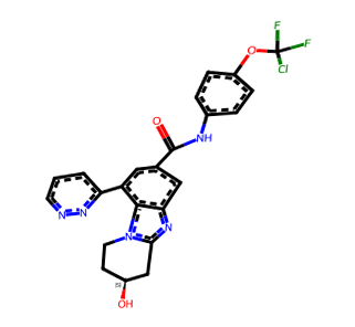 O=C(Nc1ccc(OC(F)(F)Cl)cc1)c1cc(-c2cccnn2)c2c(c1)nc1n2CC[C@H](O)C1